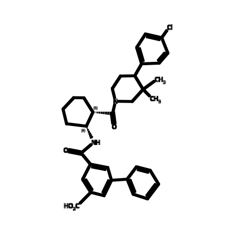 CC1(C)CN(C(=O)[C@H]2CCCC[C@H]2NC(=O)c2cc(C(=O)O)cc(-c3ccccc3)c2)CCC1c1ccc(Cl)cc1